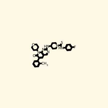 Cc1ccccc1-c1cc2cnc(NC3CCN(C(=S)Nc4ccc(F)cc4)CC3)nc2n(C2CCOCC2)c1=O